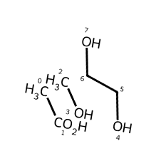 CC(=O)O.CO.OCCO